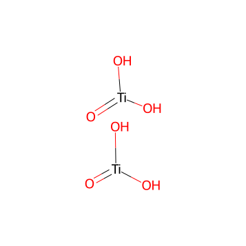 [O]=[Ti]([OH])[OH].[O]=[Ti]([OH])[OH]